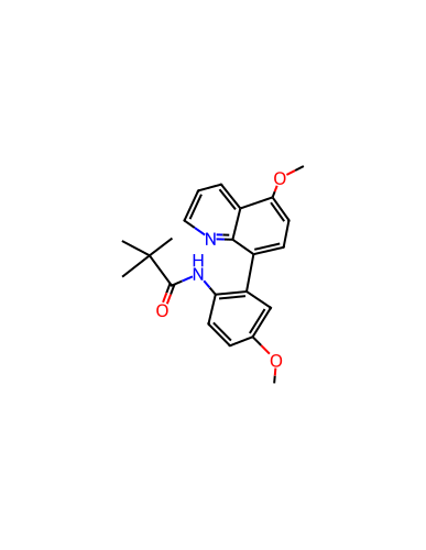 COc1ccc(NC(=O)C(C)(C)C)c(-c2ccc(OC)c3cccnc23)c1